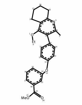 CCOc1c2c(nc(C)c1-c1ccc(Oc3cccc(C(=O)OC)c3)cc1)CCCC2